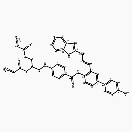 C=CC(=O)CC(COC(=O)C=C)COc1ccc(C(=O)Oc2ccc(-c3ccc(CCC)cc3)cc2/C=N/Nc2nc3ccccc3s2)cc1